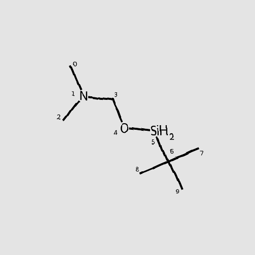 CN(C)CO[SiH2]C(C)(C)C